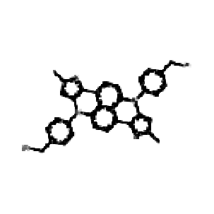 Cc1cc2c(s1)-c1ccc3c4c(ccc(c14)N2c1ccc(CC(C)C)cc1)-c1sc(C)cc1N3c1ccc(CC(C)C)cc1